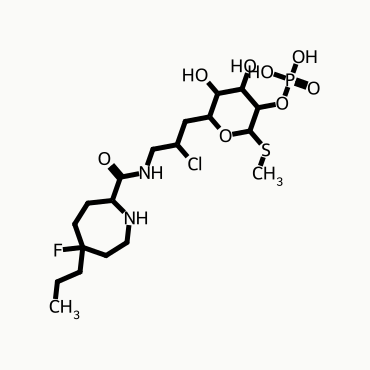 CCCC1(F)CCNC(C(=O)NCC(Cl)CC2OC(SC)C(OP(=O)(O)O)C(O)C2O)CC1